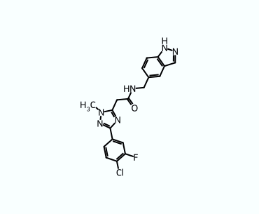 Cn1nc(-c2ccc(Cl)c(F)c2)nc1CC(=O)NCc1ccc2[nH]ncc2c1